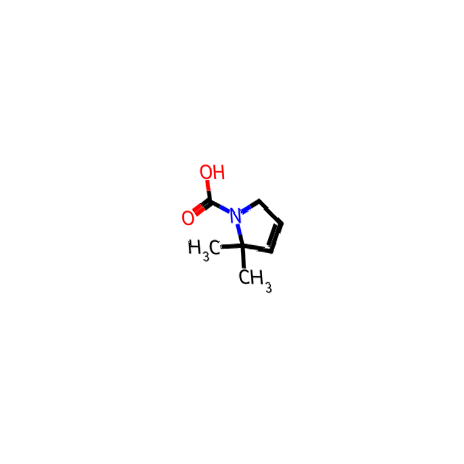 CC1(C)C=CCN1C(=O)O